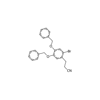 N#CCCc1cc(OCc2ccccc2)c(OCc2ccccc2)cc1Br